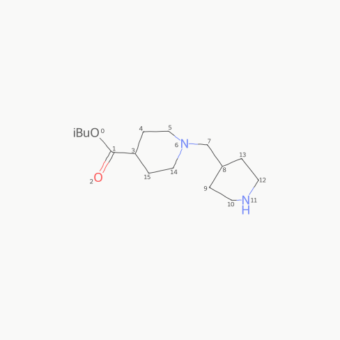 CC(C)COC(=O)C1CCN(CC2CCNCC2)CC1